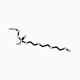 CCCCCCOOP(=O)(O)OCCOCCOCCOCC